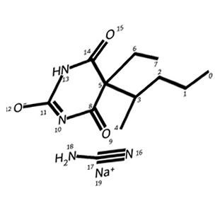 CCCC(C)C1(CC)C(=O)N=C([O-])NC1=O.N#CN.[Na+]